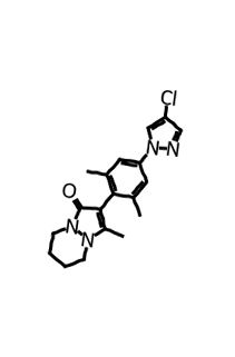 Cc1cc(-n2cc(Cl)cn2)cc(C)c1-c1c(C)n2n(c1=O)CCCC2